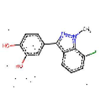 Cn1nc(-c2ccc(O)c(O)c2)c2cccc(F)c21